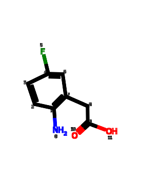 Nc1ccc(F)cc1CC(=O)O